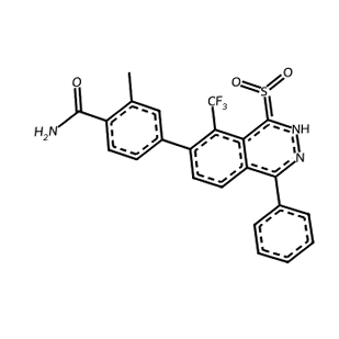 Cc1cc(-c2ccc3c(-c4ccccc4)n[nH]c(=S(=O)=O)c3c2C(F)(F)F)ccc1C(N)=O